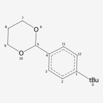 CC(C)(C)c1ccc(C2OCCCO2)cc1